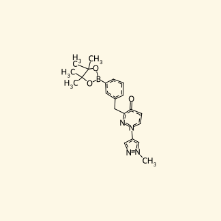 Cn1cc(-n2ccc(=O)c(Cc3cccc(B4OC(C)(C)C(C)(C)O4)c3)n2)cn1